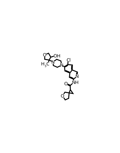 CC1(N2CCN(c3cc4cc(NC(=O)C5CC56CCOC6)ncc4cc3Cl)CC2)COCC1O